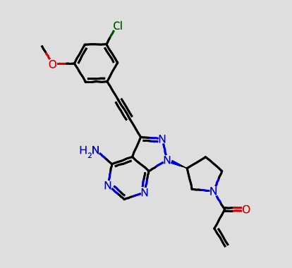 C=CC(=O)N1CC[C@H](n2nc(C#Cc3cc(Cl)cc(OC)c3)c3c(N)ncnc32)C1